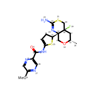 COc1cnc(C(=O)NC2=CCC([C@]34CO[C@@H](C)C[C@@]3(F)CSC(N)=N4)S2)cn1